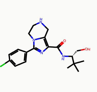 CC(C)(C)[C@@H](CO)NC(=O)c1nc(-c2ccc(Cl)cc2)n2c1CNCC2